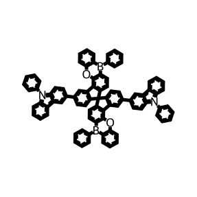 c1ccc(B2c3ccccc3Oc3c2ccc2c3-c3cc(-c4ccc5c(c4)c4ccccc4n5-c4ccccc4)ccc3C23c2ccc(-c4ccc5c(c4)c4ccccc4n5-c4ccccc4)cc2-c2c3ccc3c2Oc2ccccc2B3c2ccccc2)cc1